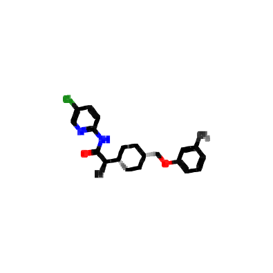 CC[C@@H](C(=O)Nc1ccc(Cl)cn1)[C@H]1CC[C@@H](COc2cccc(C(F)(F)F)c2)CC1